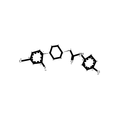 O=C(C[C@H]1CC[C@@H](c2ccc(Cl)cc2F)CC1)Nc1ccc(Cl)cc1